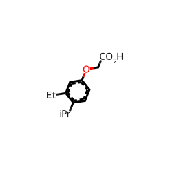 CCc1cc(OCC(=O)O)ccc1C(C)C